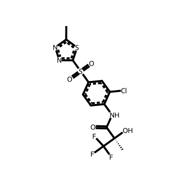 Cc1nnc(S(=O)(=O)c2ccc(NC(=O)[C@@](C)(O)C(F)(F)F)c(Cl)c2)s1